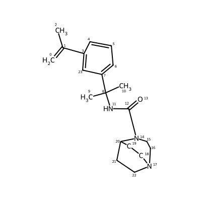 C=C(C)c1cccc(C(C)(C)NC(=O)N2CCN3CCC2CC3)c1